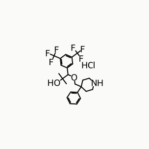 CC(C)(O)C(OCC1(c2ccccc2)CCNCC1)c1cc(C(F)(F)F)cc(C(F)(F)F)c1.Cl